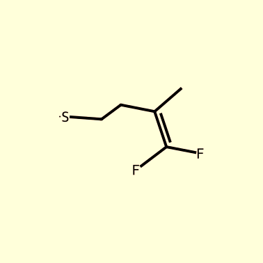 CC(CC[S])=C(F)F